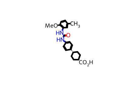 COc1ccc(C)cc1NC(=O)Nc1ccc([C@H]2CC[C@H](C(=O)O)CC2)cc1